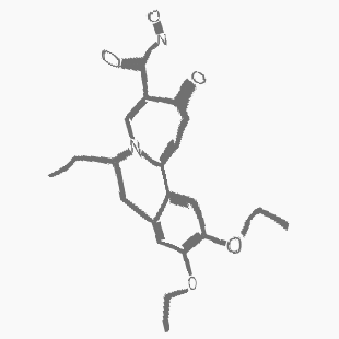 CCOc1cc2c(cc1OCC)-c1cc(=O)c(C(=O)N=O)cn1C(CC)C2